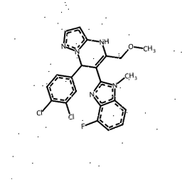 COCC1=C(c2nc3c(F)cccc3n2C)C(c2ccc(Cl)c(Cl)c2)n2nccc2N1